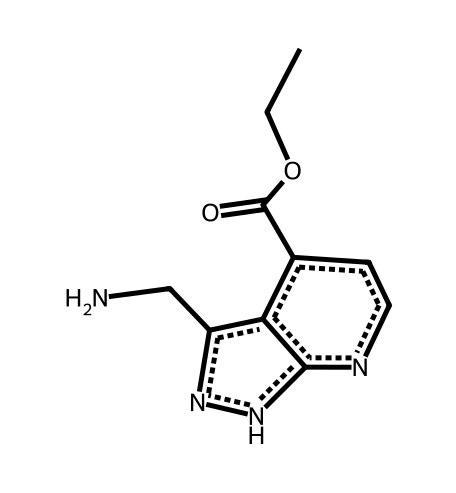 CCOC(=O)c1ccnc2[nH]nc(CN)c12